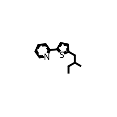 CCC(C)Cc1ccc(-c2ccccn2)s1